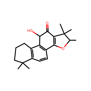 CC1OC2=C(C(=O)C(O)c3c2ccc2c3CCCC2(C)C)C1(C)C